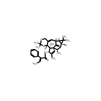 C/C=C(/C(=O)O[C@H]1C(C)=C[C@]23C(=O)[C@@H](C=C4COC(C)(C)O[C@H]4[C@]12O)[C@H]1[C@@H](C[C@H]3C)C1(C)C)c1ccccc1